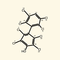 Oc1c(Cl)c(Cl)c(-c2c(Cl)c(Cl)cc(Cl)c2Cl)c(Cl)c1Cl